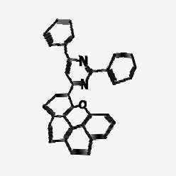 c1ccc(-c2cc(-c3ccc4ccc5ccc6cccc7c6c5c4c3O7)nc(-c3ccccc3)n2)cc1